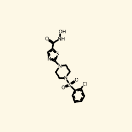 O=C(NO)c1cnc(N2CCN(S(=O)(=O)c3ccccc3Cl)CC2)s1